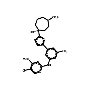 COc1nc(Nc2cc(C)cc(-c3cnc([C@@]4(O)CCCN(C(=O)O)CC4)s3)c2)ncc1Cl